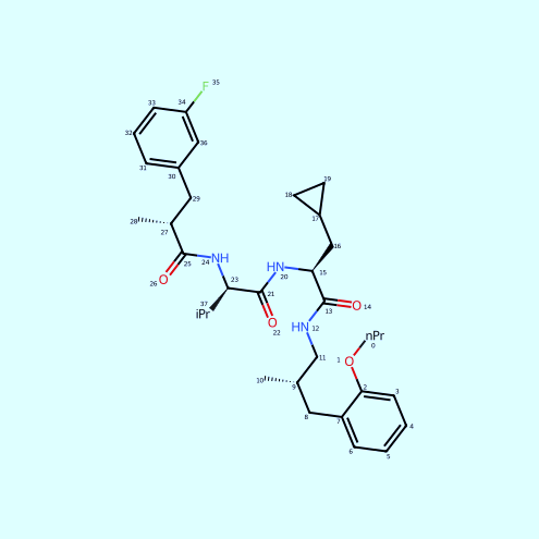 CCCOc1ccccc1C[C@H](C)CNC(=O)[C@H](CC1CC1)NC(=O)[C@H](NC(=O)[C@H](C)Cc1cccc(F)c1)C(C)C